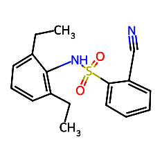 CCc1cccc(CC)c1NS(=O)(=O)c1ccccc1C#N